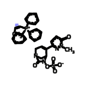 C/C=C\[P+](c1ccccc1)(c1ccccc1)c1ccccc1.Cn1nc(C2=CCN3CC2N(OS(=O)(=O)[O-])C3=O)ccc1=O